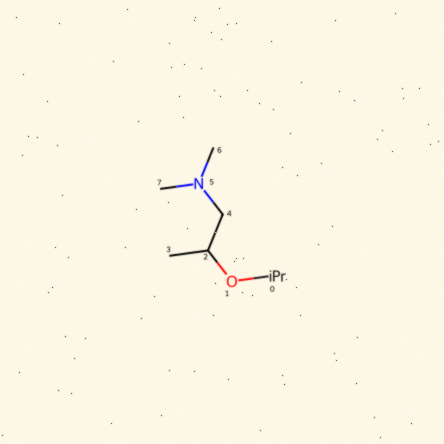 CC(C)OC(C)CN(C)C